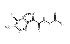 CC(=O)CNC(=O)c1ncn2c(=O)n(C)nnc12